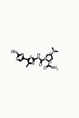 Cc1nc(NC(=O)N2C[C@@H](N(C)C)C[C@H]2C(N)=O)sc1-c1csc(C(C)(C)C)n1